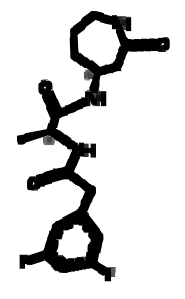 C[C@H](NC(=O)Cc1cc(F)cc(F)c1)C(=O)N[C@H]1CCCNC(=O)C1